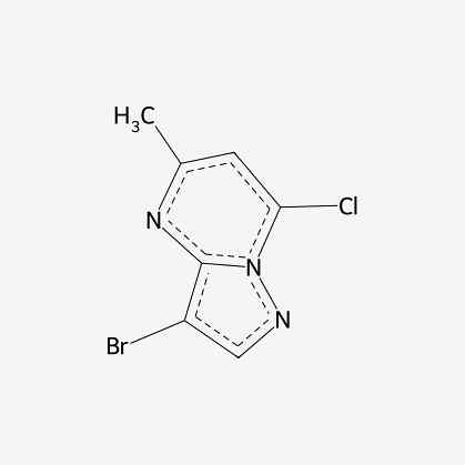 Cc1cc(Cl)n2ncc(Br)c2n1